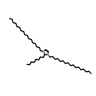 CCCCCCCCCCCCCCCCCN1C=CN(CCCCCCCCCCCCCCCCC)C1CCCCCCCC